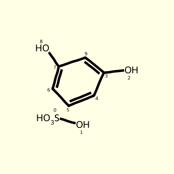 O=S(=O)(O)O.Oc1cccc(O)c1